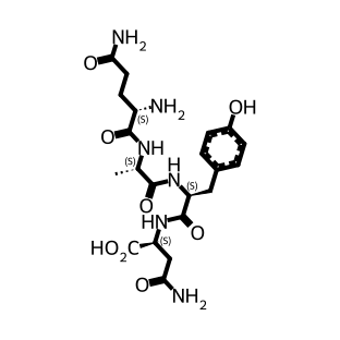 C[C@H](NC(=O)[C@@H](N)CCC(N)=O)C(=O)N[C@@H](Cc1ccc(O)cc1)C(=O)N[C@@H](CC(N)=O)C(=O)O